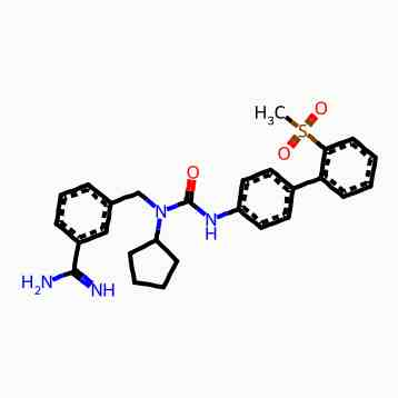 CS(=O)(=O)c1ccccc1-c1ccc(NC(=O)N(Cc2cccc(C(=N)N)c2)C2CCCC2)cc1